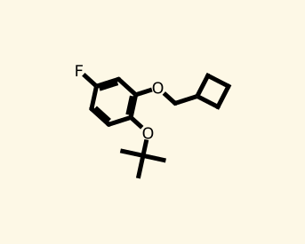 CC(C)(C)Oc1ccc(F)cc1OCC1CCC1